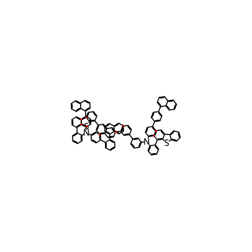 c1cc(-c2cccc(N(c3ccc(-c4ccc(-c5cccc6ccccc56)cc4)cc3)c3ccccc3-c3cccc4c3sc3ccccc34)c2)cc(-c2ccc3ccc(-c4cccc5c4sc4c(-c6ccccc6N(c6ccc(-c7ccccc7-c7cccc8ccccc78)cc6)c6ccc(-c7cccc8ccccc78)cc6)cccc45)cc3c2)c1